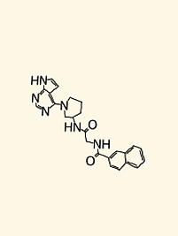 O=C(CNC(=O)c1ccc2ccccc2c1)NC1CCCN(c2ncnc3[nH]ccc23)C1